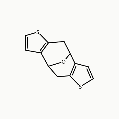 c1cc2c(s1)CC1OC2Cc2sccc21